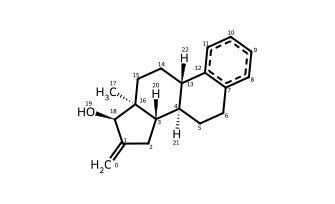 C=C1C[C@H]2[C@@H]3CCc4ccccc4[C@H]3CC[C@]2(C)[C@@H]1O